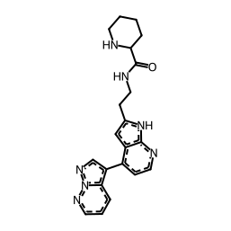 O=C(NCCc1cc2c(-c3cnn4ncccc34)ccnc2[nH]1)C1CCCCN1